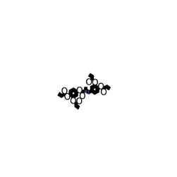 C=CC(=O)Oc1ccc(/C=C(\C)C(=O)Oc2ccc(OC(=O)C=C)c(OC(=O)C=C)c2)cc1OC(=O)C=C